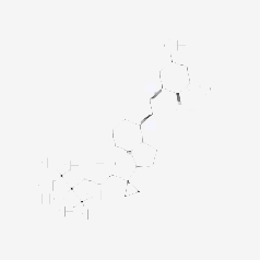 [2H]C([2H])([2H])C(O)(CCCC1(C2CCC3/C(=C/C=C4/CC(O)C[C@H](O)C4=C)CCC[C@@]32C)CC1)C([2H])([2H])[2H]